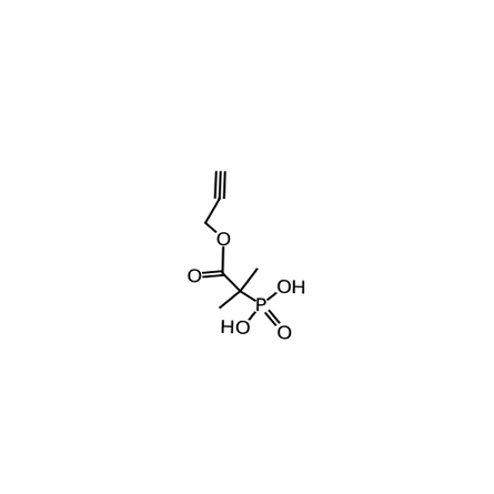 C#CCOC(=O)C(C)(C)P(=O)(O)O